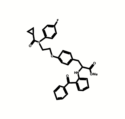 COC(=O)C(Cc1ccc(OCCN(C(=O)C2CC2)c2ccc(F)cc2)cc1)Nc1ccccc1C(=O)c1ccccc1